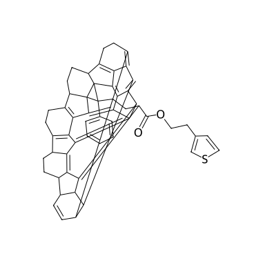 O=C(CCCC1(c2ccccc2)C23c4c5c6c7c8c4=C4CCC=8C8C=CC9C%10CCC%11C%12=c%13c%14c(c-5c5c-6c(c%10c%11c%135)C9C78)C12C(CCC43)C=%14CC%12)OCCc1ccsc1